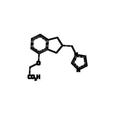 O=C(O)COc1cccc2c1CC(Cn1ccnc1)C2